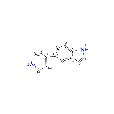 c1cc(-c2ccc3[nH]ccc3c2)ccn1